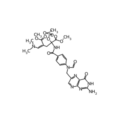 COC(=O)C(=CN(C)C)CC(NC(=O)c1ccc(N(C=O)Cc2cnc3nc(N)[nH]c(=O)c3n2)cc1)(OS(C)(=O)=O)C(=O)OC